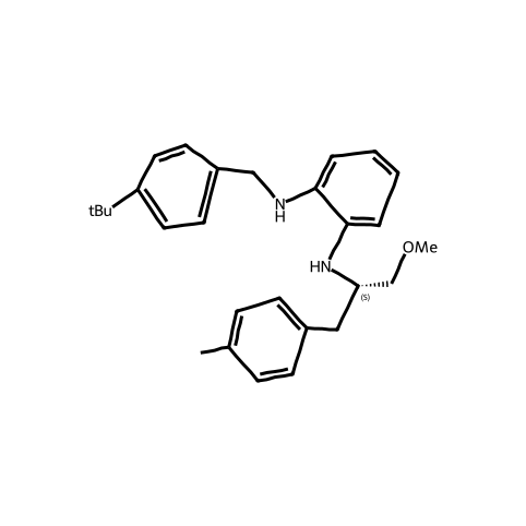 COC[C@H](Cc1ccc(C)cc1)Nc1ccccc1NCc1ccc(C(C)(C)C)cc1